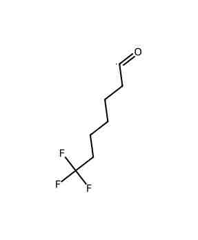 O=[C]CCCCCC(F)(F)F